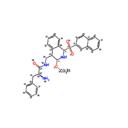 CCOC(=O)OC1NC(S(=O)(=O)c2ccc3ccccc3c2)c2ccccc2C1CNC(=O)[C@@H](N)Cc1ccccc1